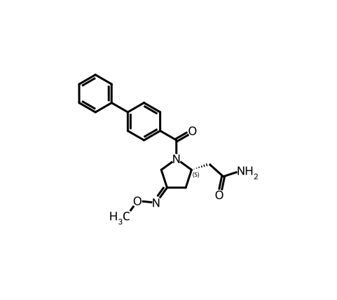 CON=C1C[C@@H](CC(N)=O)N(C(=O)c2ccc(-c3ccccc3)cc2)C1